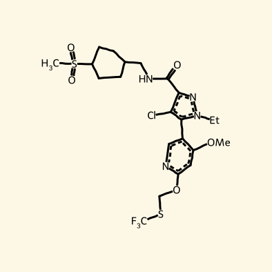 CCn1nc(C(=O)NCC2CCC(S(C)(=O)=O)CC2)c(Cl)c1-c1cnc(OCSC(F)(F)F)cc1OC